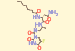 CCCCCCCC(=O)N[C@H](CC(N)=O)C(=O)N[C@@H](C)CN(C)C(=O)n1cc(F)c(=O)[nH]c1=O